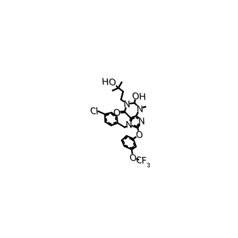 CN1c2nc(Oc3cccc(OC(F)(F)F)c3)n(Cc3ccc(Cl)cc3)c2C(=O)N(CCC(C)(C)O)C1O